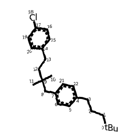 CC(C)(C)CCCc1ccc(CC(C)(C)CCc2ccc(Cl)cc2)cc1